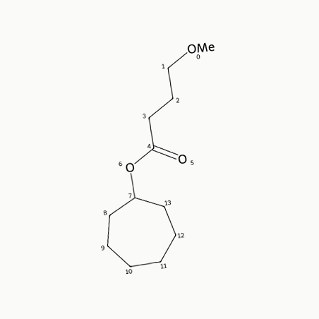 COCCCC(=O)OC1CCCCCC1